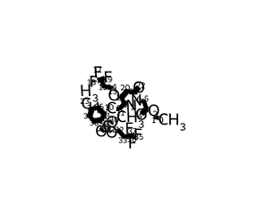 CCOC(=O)Cn1nc(C(C)C)c(OCCC(F)(F)F)cc1=O.Cc1ccc(S(=O)(=O)OCCC(F)(F)F)cc1